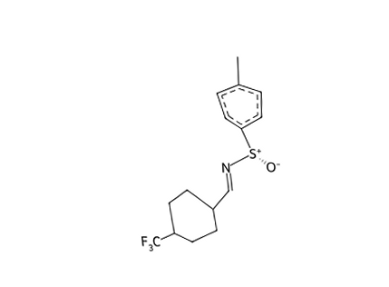 Cc1ccc([S@+]([O-])/N=C/C2CCC(C(F)(F)F)CC2)cc1